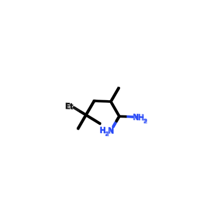 CCC(C)(C)CC(C)C(N)N